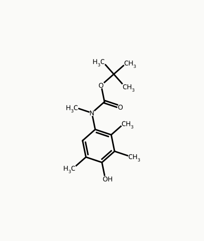 Cc1cc(N(C)C(=O)OC(C)(C)C)c(C)c(C)c1O